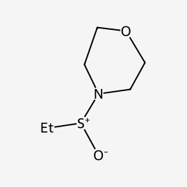 CC[S+]([O-])N1CCOCC1